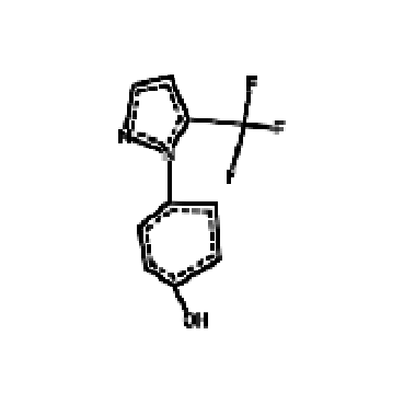 Oc1ccc(-n2nccc2C(F)(F)F)cc1